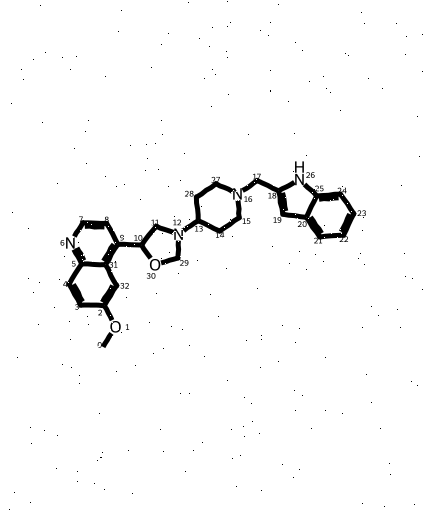 COc1ccc2nccc(C3CN(C4CCN(Cc5cc6ccccc6[nH]5)CC4)CO3)c2c1